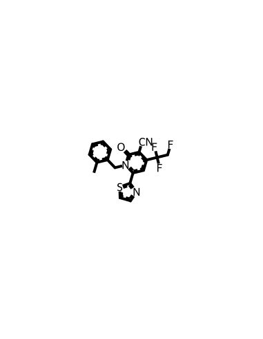 Cc1ccccc1Cn1c(-c2nccs2)cc(C(F)(F)CF)c(C#N)c1=O